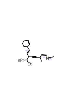 C/C=N\C=C/C(C)C#CC(/C=C/C1=CCCC=C1)C(CC)CCC